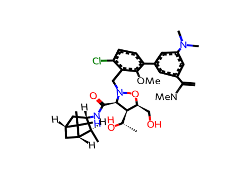 C=C(NC)c1cc(-c2ccc(Cl)c(CN3O[C@@H](CO)[C@@H]([C@H](C)O)[C@H]3C(=O)N[C@H]3C[C@H]4C[C@@H]([C@@H]3C)C4(C)C)c2OC)cc(N(C)C)c1